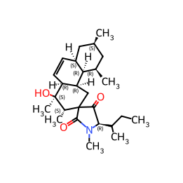 CCC(C)[C@@H]1C(=O)C2(C[C@@H]3[C@@H]4[C@H](C)C[C@H](C)C[C@@H]4C=C[C@@H]3[C@](C)(O)[C@H]2C)C(=O)N1C